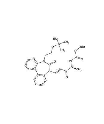 C[C@H](NC(=O)OC(C)(C)C)C(=O)/N=C/C1C(=O)N(CCO[Si](C)(C)C(C)(C)C)c2ncccc2-c2ccccc21